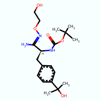 CC(C)(C)OC(=O)N[C@@H](Cc1ccc(C(C)(C)O)cc1)/C(N)=N/OCCO